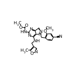 COC(=O)Nc1nc(NCc2cnoc2C)c2c(cnn2Cc2ccc(C#N)cc2OC)n1